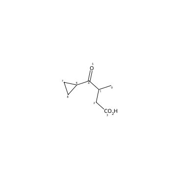 CC(CC(=O)O)C(=O)C1CC1